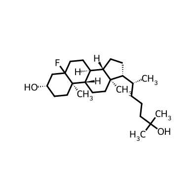 C[C@H](CCCC(C)(C)O)[C@H]1CC[C@H]2[C@@H]3CCC4(F)C[C@@H](O)CC[C@]4(C)[C@H]3CC[C@]12C